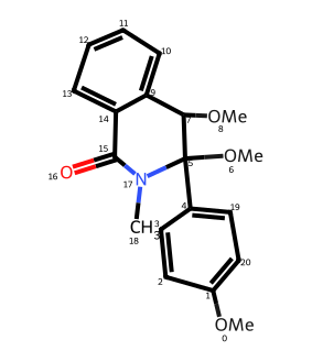 COc1ccc(C2(OC)C(OC)c3ccccc3C(=O)N2C)cc1